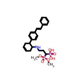 COP(=O)(OC)C(CCNC1CC=CCC1c1ccc(C=Cc2ccccc2)cc1)P(=O)(O)O